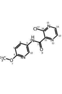 O=C(Nc1ccc(OC(F)(F)F)nc1)c1nccnc1Cl